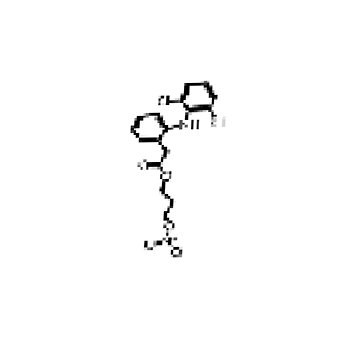 O=C(Cc1ccccc1Nc1c(Cl)cccc1Cl)OCCCO[N+](=O)[O-]